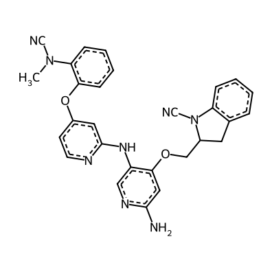 CN(C#N)c1ccccc1Oc1ccnc(Nc2cnc(N)cc2OCC2Cc3ccccc3N2C#N)c1